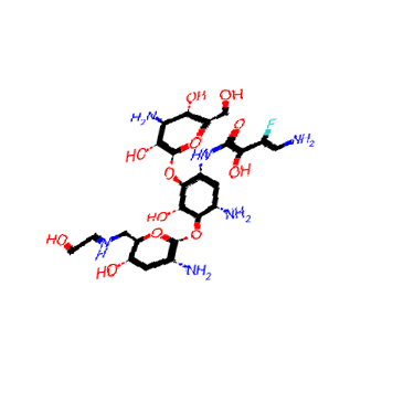 NCC(F)C(O)C(=O)N[C@@H]1C[C@H](N)C(O[C@H]2O[C@H](CNCCO)[C@@H](O)C[C@H]2N)[C@H](O)[C@H]1O[C@H]1O[C@H](CO)[C@@H](O)[C@H](N)[C@H]1O